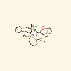 C=C1C2=C(CC3(C)C1N(c1ccc4ccccc4c1)C1(C)CCCCC31)[C@@H]1CC=C=C1O2